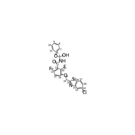 O=C(NC(O)Oc1ccccc1)c1c(F)ccc(OCc2nc3cc(Cl)ccc3s2)c1F